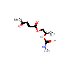 COC(=O)/C=C/C(=O)OC[C@@H](C)OC(=O)NC(C)(C)C